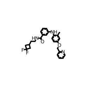 Cc1cc(OCc2ccccn2)ccc1Nc1cccc(C(=O)NCCC2CC(F)(F)C2)c1